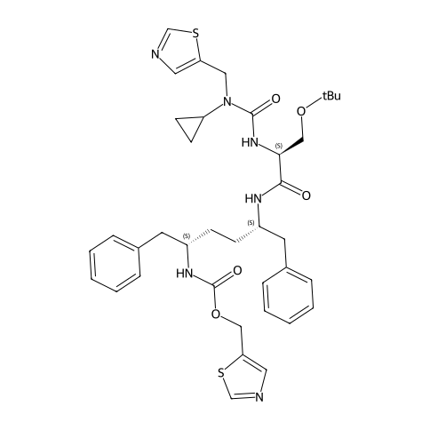 CC(C)(C)OC[C@H](NC(=O)N(Cc1cncs1)C1CC1)C(=O)N[C@@H](CC[C@@H](Cc1ccccc1)NC(=O)OCc1cncs1)Cc1ccccc1